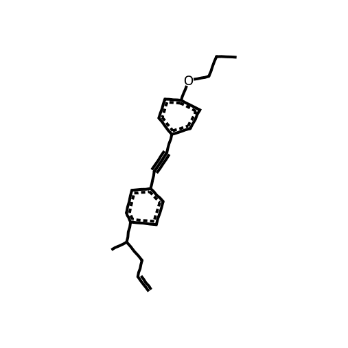 C=CCC(C)c1ccc(C#Cc2ccc(OCCC)cc2)cc1